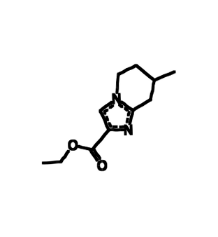 CCOC(=O)c1cn2c(n1)CC(C)CC2